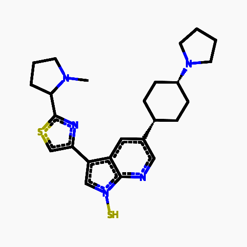 CN1CCCC1c1nc(-c2cn(S)c3ncc([C@H]4CC[C@@H](N5CCCC5)CC4)cc23)cs1